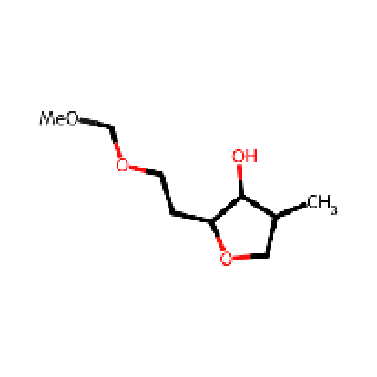 COCOCCC1OCC(C)C1O